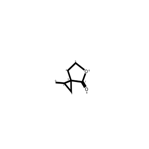 CC1CC12CCOC2=O